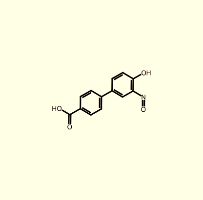 O=Nc1cc(-c2ccc(C(=O)O)cc2)ccc1O